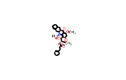 COc1cc2c(c3c1c(=O)c1cc4ccccc4cc1n3C)[C@H](O)[C@H](OC(=O)C=Cc1ccccc1)C(C)(C)O2